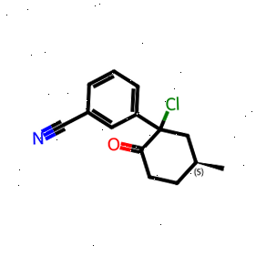 C[C@H]1CCC(=O)C(Cl)(c2cccc(C#N)c2)C1